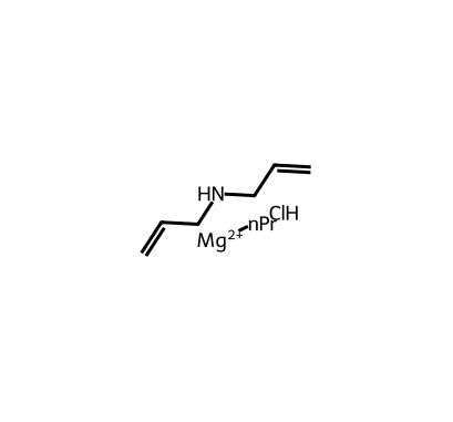 C=CCNCC=C.CC[CH2][Mg+2].Cl